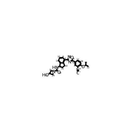 [C-]#[N+]c1cc(-c2nc(-c3cccc4c3CC[C@H]4NC(=O)N3CC(O)C3)no2)ccc1OC(C)C